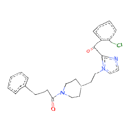 O=C(c1ccccc1Cl)c1nccn1CCC1CCN(C(=O)CCc2ccccc2)CC1